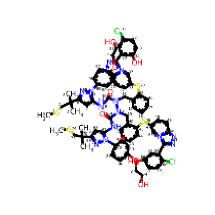 CSCC(C)(C)c1cc(NC(=O)N(Cc2ccccc2Sc2ccc3nnc(-c4cc(Cl)ccc4O)n3c2)N(Cc2ccccc2Sc2ccc3nnc(-c4cc(O)ccc4Cl)n3c2)C(=O)Nc2cc(C(C)(C)CSC)nn2-c2ccc(OCCO)cc2)n(-c2ccc(OCCO)cc2)n1